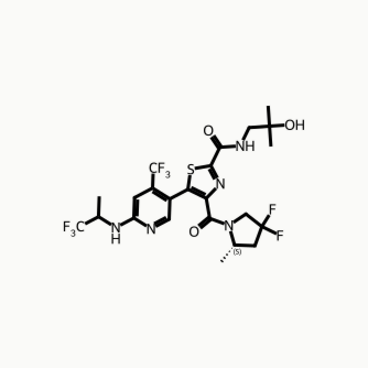 CC(Nc1cc(C(F)(F)F)c(-c2sc(C(=O)NCC(C)(C)O)nc2C(=O)N2CC(F)(F)C[C@@H]2C)cn1)C(F)(F)F